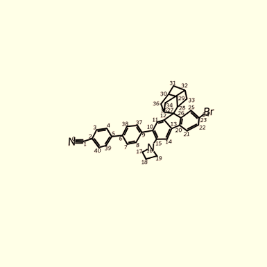 N#Cc1ccc(-c2ccc(-c3cc4c(cc3N3CCC3)-c3ccc(Br)cc3C43C4CC5CC(C4)CC3C5)cc2)cc1